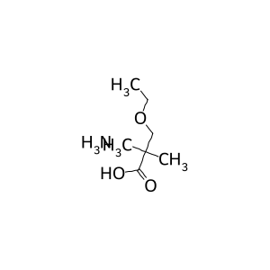 CCOCC(C)(C)C(=O)O.N